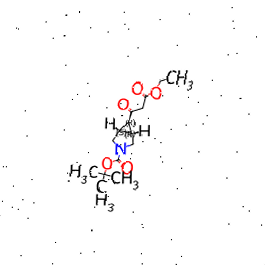 CCOC(=O)CC(=O)[C@H]1[C@@H]2CN(C(=O)OC(C)(C)C)C[C@@H]21